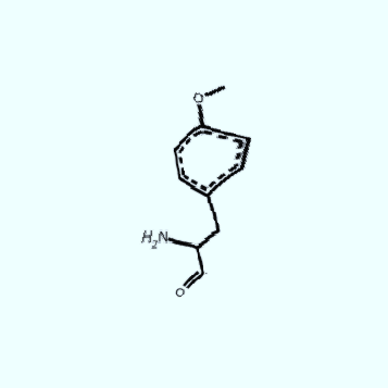 COc1ccc(CC(N)[C]=O)cc1